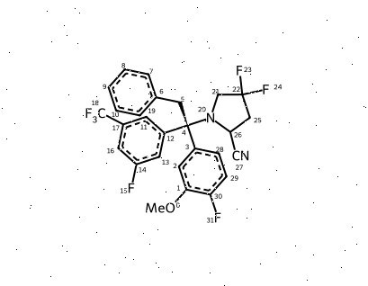 COc1cc([C@](Cc2ccccc2)(c2cc(F)cc(C(F)(F)F)c2)N2CC(F)(F)CC2C#N)ccc1F